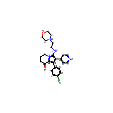 O=C1CCCn2c(NCCN3CCOCC3)c(-c3ccncc3)c(-c3ccc(F)cc3)c21